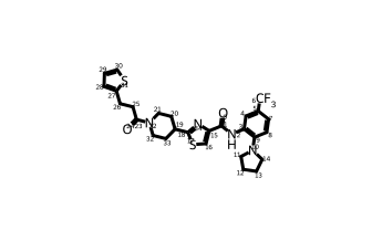 O=C(Nc1cc(C(F)(F)F)ccc1N1CCCC1)c1csc(C2CCN(C(=O)CCc3cccs3)CC2)n1